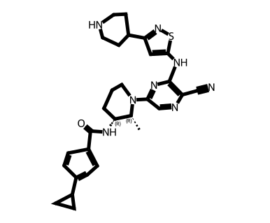 C[C@@H]1[C@H](NC(=O)c2ccc(C3CC3)cc2)CCCN1c1cnc(C#N)c(Nc2cc(C3CCNCC3)ns2)n1